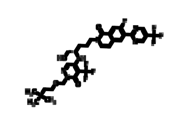 C[Si](C)(C)CCOCn1ncc(N[C@H](CO)CCCn2ccc3cc(-c4ncc(C(F)(F)F)cn4)c(F)cc3c2=O)c(C(F)(F)F)c1=O